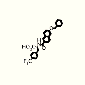 O=C(N[C@@H](Cc1ccc(C(F)(F)F)cc1)C(=O)O)c1ccc2cc(OCc3ccccc3)ccc2c1